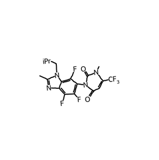 Cc1nc2c(F)c(F)c(-n3c(=O)cc(C(F)(F)F)n(C)c3=O)c(F)c2n1CC(C)C